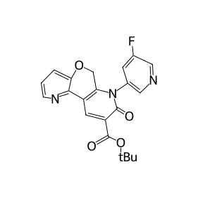 CC(C)(C)OC(=O)c1cc2c(n(-c3cncc(F)c3)c1=O)COc1cccnc1-2